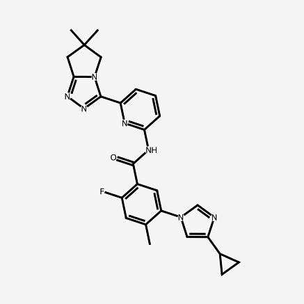 Cc1cc(F)c(C(=O)Nc2cccc(-c3nnc4n3CC(C)(C)C4)n2)cc1-n1cnc(C2CC2)c1